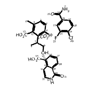 Cc1ccc(C(=O)O)c(C(C)CO)c1C(=O)O.NC(=O)c1ccc(Cl)c(F)c1.O=C(O)c1cccc2c(=O)[nH]ccc12